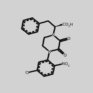 O=C(O)[C@H](Cc1ccccc1)N1CCN(c2cc(Cl)ccc2[N+](=O)[O-])C(=O)C1=O